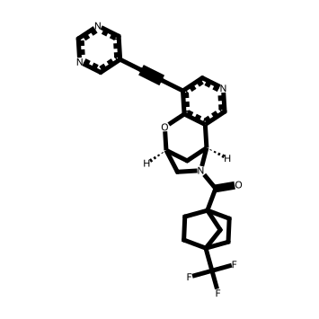 O=C(N1C[C@@H]2C[C@H]1c1cncc(C#Cc3cncnc3)c1O2)C12CCC(C(F)(F)F)(CC1)C2